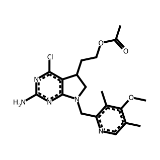 COc1c(C)cnc(CN2CC(CCOC(C)=O)c3c(Cl)nc(N)nc32)c1C